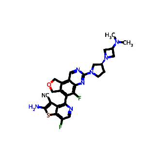 CN(C)C1CN([C@H]2CCN(c3ncc4c5c(c(-c6ncc(F)c7sc(N)c(C#N)c67)c(F)c4n3)COC5)C2)C1